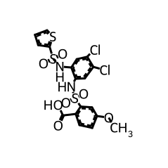 COc1ccc(C(=O)O)c(S(=O)(=O)Nc2cc(Cl)c(Cl)cc2NS(=O)(=O)c2cccs2)c1